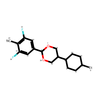 CCC1CCC(C2COC(c3cc(F)c(C#N)c(F)c3)OC2)CC1